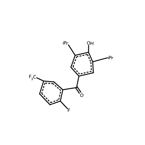 CC(C)c1cc(C(=O)c2cc(C(F)(F)F)ccc2F)cc(C(C)C)c1O